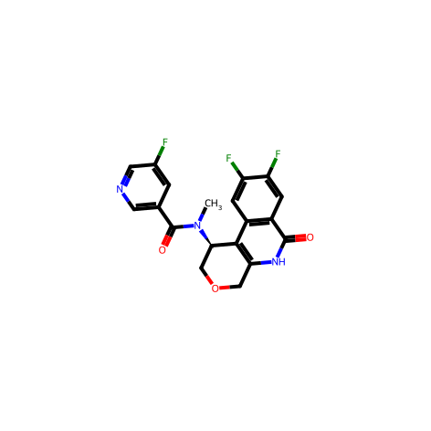 CN(C(=O)c1cncc(F)c1)[C@@H]1COCc2[nH]c(=O)c3cc(F)c(F)cc3c21